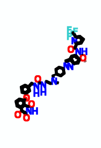 COc1cc2nn([C@H]3CC[C@H](CN(C)CCNC(=O)NCc4cccc(Oc5cccc6c5C(=O)NC(=O)C6=O)c4)CC3)cc2cc1NC(=O)c1cccc(C(F)(F)F)n1